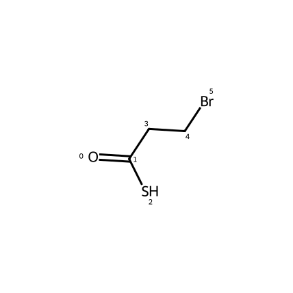 O=C(S)CCBr